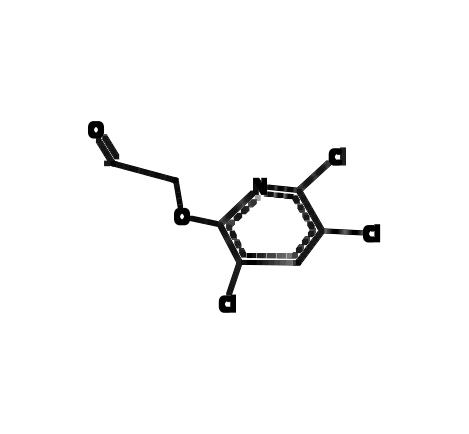 O=[C]COc1nc(Cl)c(Cl)cc1Cl